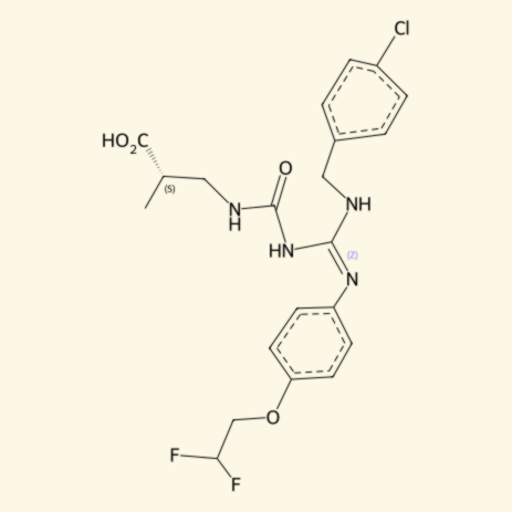 C[C@@H](CNC(=O)N/C(=N\c1ccc(OCC(F)F)cc1)NCc1ccc(Cl)cc1)C(=O)O